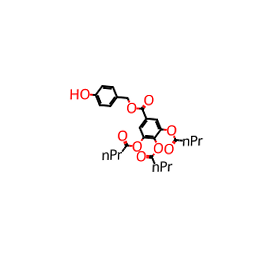 CCCC(=O)Oc1cc(C(=O)OCc2ccc(O)cc2)cc(OC(=O)CCC)c1OC(=O)CCC